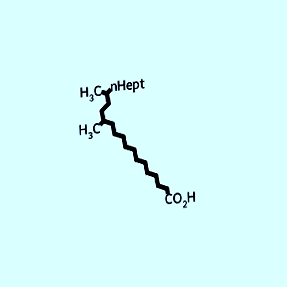 CCCCCCCC(C)CCC(C)CCCCCCCCCCCC(=O)O